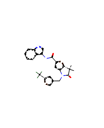 CC1(C)C(=O)N(Cc2csc(C(F)(F)F)c2)c2cc(C(=O)Nc3c[nH]c4ccccc34)sc21